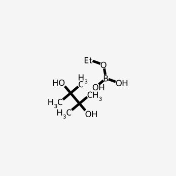 CC(C)(O)C(C)(C)O.CCOB(O)O